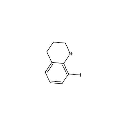 Ic1cccc2c1[N]CCC2